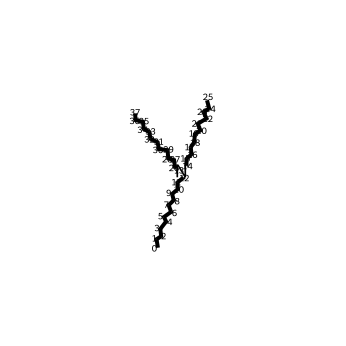 CCCCCCCCCCCCCN(CCCCCCCCCCCC)CCCCCCCCCCCC